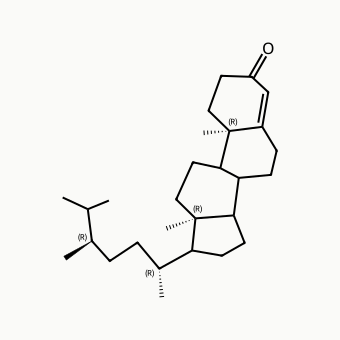 CC(C)[C@H](C)CC[C@@H](C)C1CCC2C3CCC4=CC(=O)CC[C@]4(C)C3CC[C@@]21C